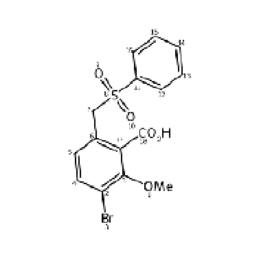 COc1c(Br)ccc(CS(=O)(=O)c2ccccc2)c1C(=O)O